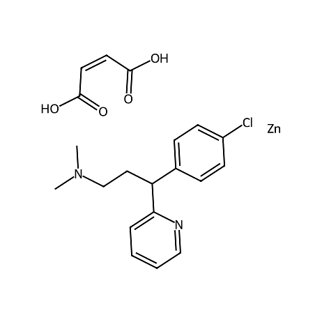 CN(C)CCC(c1ccc(Cl)cc1)c1ccccn1.O=C(O)/C=C\C(=O)O.[Zn]